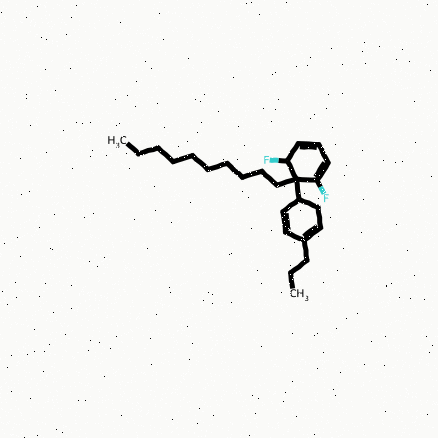 CCCCCCCCCCC1(C2C=CC(CCC)=CC2)C(F)=CC=CC1F